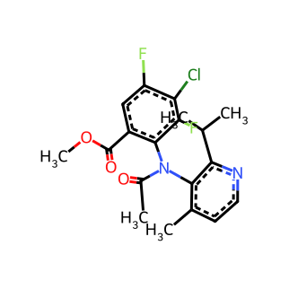 COC(=O)c1cc(F)c(Cl)c(F)c1N(C(C)=O)c1c(C)ccnc1C(C)C